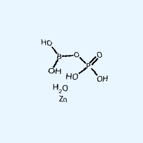 O.O=P(O)(O)OB(O)O.[Zn]